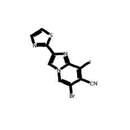 N#Cc1c(Br)cn2cc(-c3nccs3)nc2c1I